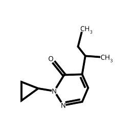 CCC(C)c1ccnn(C2CC2)c1=O